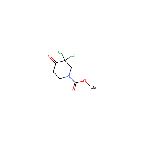 CC(C)(C)OC(=O)N1CCC(=O)C(Cl)(Cl)C1